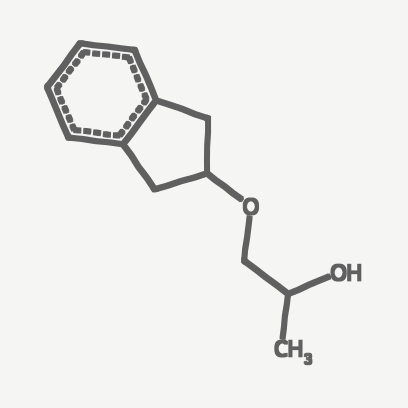 CC(O)COC1Cc2ccccc2C1